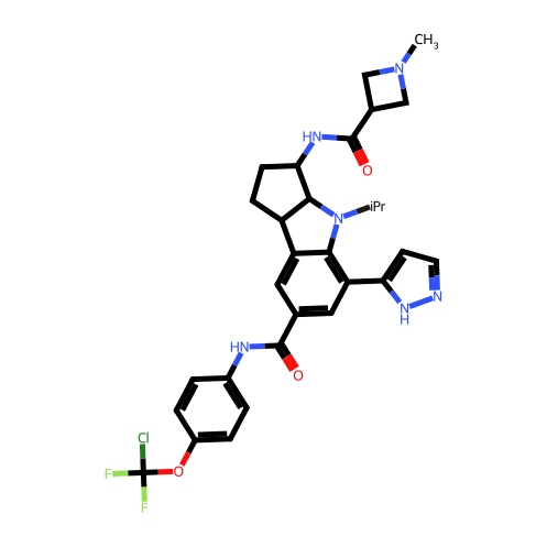 CC(C)N1c2c(-c3ccn[nH]3)cc(C(=O)Nc3ccc(OC(F)(F)Cl)cc3)cc2C2CCC(NC(=O)C3CN(C)C3)C21